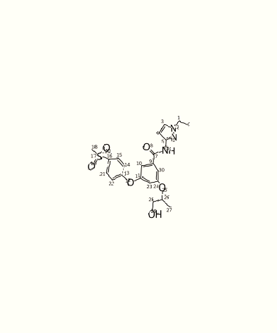 CCn1ccc(NC(=O)c2cc(Oc3ccc(S(C)(=O)=O)cc3)cc(OC(C)CO)c2)n1